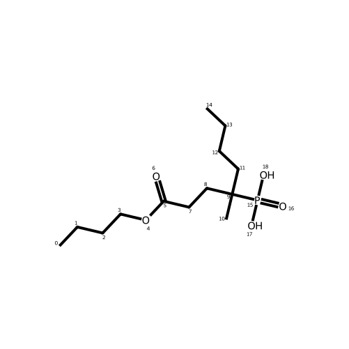 CCCCOC(=O)CCC(C)(CCCC)P(=O)(O)O